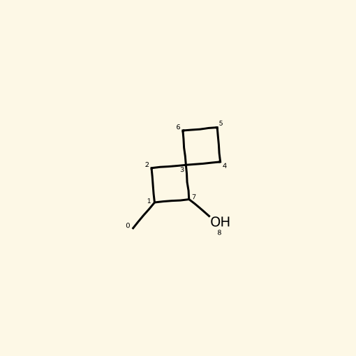 CC1CC2(CCC2)C1O